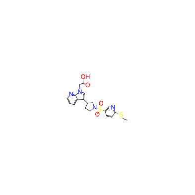 CCSc1ccc(S(=O)(=O)N2CCC(c3cn(CC(=O)O)c4ncccc34)C2)cn1